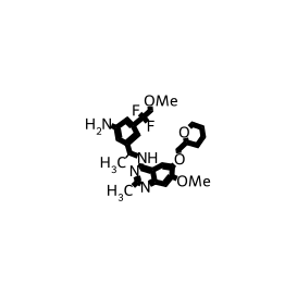 COCC(F)(F)c1cc(N)cc([C@@H](C)Nc2nc(C)nc3cc(OC)c(OCC4CCCCO4)cc23)c1